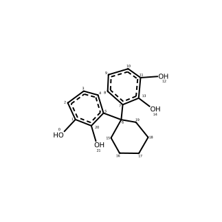 Oc1cccc(C2(c3cccc(O)c3O)CCCCC2)c1O